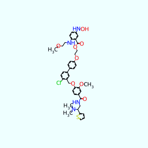 COCCNc1ccc(NO)cc1C(=O)OCCOc1ccc(-c2ccc(Cl)c(COc3ccc(C(=O)NCC(c4cccs4)N(C)C)cc3OC)c2)cc1